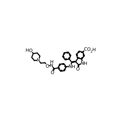 O=C1Nc2cc(C(=O)O)ccc2/C1=C(/Nc1ccc(C(=O)NOCCN2CCC(O)CC2)cc1)c1ccccc1